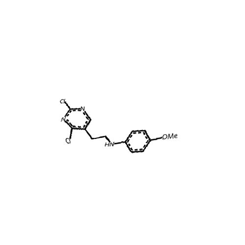 COc1ccc(NCCc2cnc(Cl)nc2Cl)cc1